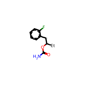 CCC([CH]c1ccccc1F)OC(N)=O